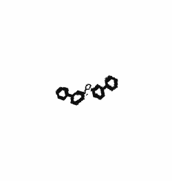 c1ccc(-c2cccc([P]c3cccc(-c4ccccc4)c3)c2)cc1